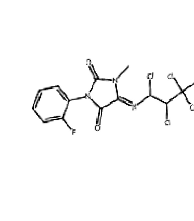 CN1C(=O)N(c2ccccc2F)C(=O)/C1=N/C(Cl)C(Cl)C(Cl)(Cl)Cl